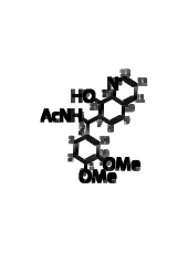 COc1ccc(C(NC(C)=O)c2ccc3cccnc3c2O)cc1OC